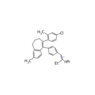 CCC/C(=C/c1ccc(C2=C(c3ccc(Cl)cc3C)CCCc3cc(C)ccc32)cc1)CC